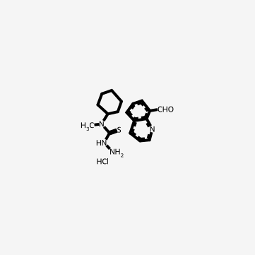 CN(C(=S)NN)C1CCCCC1.Cl.O=Cc1cccc2cccnc12